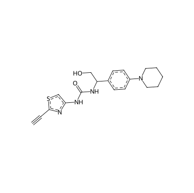 C#Cc1nc(NC(=O)NC(CO)c2ccc(N3CCCCC3)cc2)cs1